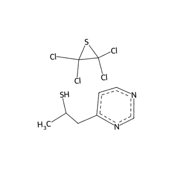 CC(S)Cc1ccncn1.ClC1(Cl)SC1(Cl)Cl